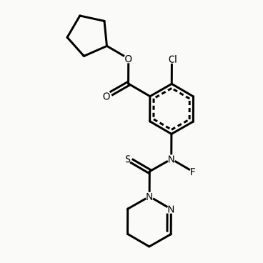 O=C(OC1CCCC1)c1cc(N(F)C(=S)N2CCCC=N2)ccc1Cl